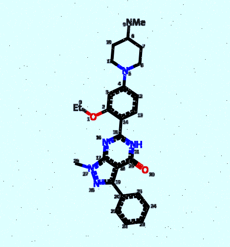 CCOc1cc(N2CCC(NC)CC2)ccc1-c1nc2c(c(-c3ccccc3)nn2C)c(=O)[nH]1